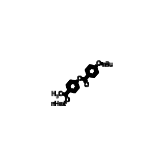 CCCCCCOC(C)c1ccc(OC(=O)c2ccc(OCCCC)cc2)cc1